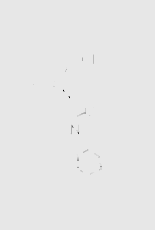 O=C(CN[C@]12CC3CC(C[C@](O)(C3)C1)C2)N1CCc2ccccc2C1C1CCCCC1